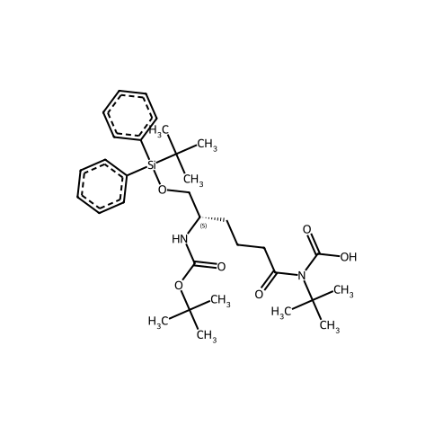 CC(C)(C)OC(=O)N[C@@H](CCCC(=O)N(C(=O)O)C(C)(C)C)CO[Si](c1ccccc1)(c1ccccc1)C(C)(C)C